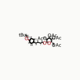 CC(=O)OC[C@H]1O[C@@H](OCCCCc2ccc(OCC(C)(C)C)cc2)[C@H](OC(C)=O)[C@@H](OC(C)=O)[C@@H]1OC(C)=O